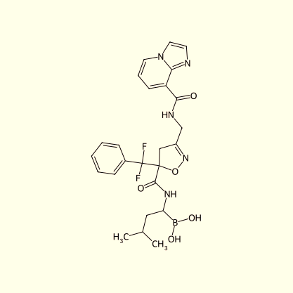 CC(C)CC(NC(=O)C1(C(F)(F)c2ccccc2)CC(CNC(=O)c2cccn3ccnc23)=NO1)B(O)O